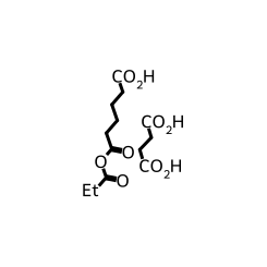 CCC(=O)OC(=O)CCCCC(=O)O.O=C(O)CCC(=O)O